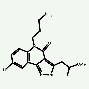 COC(C)Cc1[nH]nc2c1c(=O)n(CCCN)c1ccc(Cl)cc21